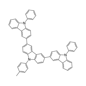 Cc1ccc(-n2c3ccc(-c4ccc5c(c4)c4ccccc4n5-c4ccccc4)cc3c3cc(-c4ccc5c(c4)c4ccccc4n5-c4ccccc4)ccc32)cc1